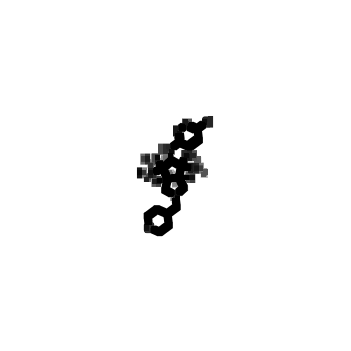 BC1(B)[C@H](Nc2ccc(Cl)nn2)C(B)(B)[C@H]2CN(CC3CCOCC3)C[C@H]21